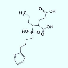 CCCC(C(CCC(=O)O)C(=O)O)P(=O)(O)CCCCc1ccccc1